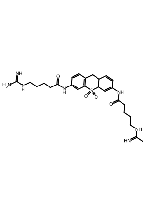 CC(=N)NCCCCC(=O)NC1=CC2C(C=C1)Cc1ccc(NC(=O)CCCCNC(=N)N)cc1S2(=O)=O